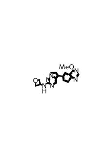 COc1ncnc2ccc(-c3ccn4nc(NC5COC5)ncc34)cc12